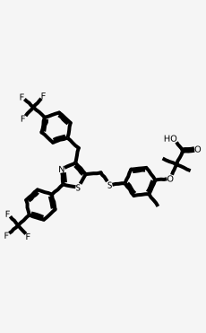 Cc1cc(SCc2sc(-c3ccc(C(F)(F)F)cc3)nc2Cc2ccc(C(F)(F)F)cc2)ccc1OC(C)(C)C(=O)O